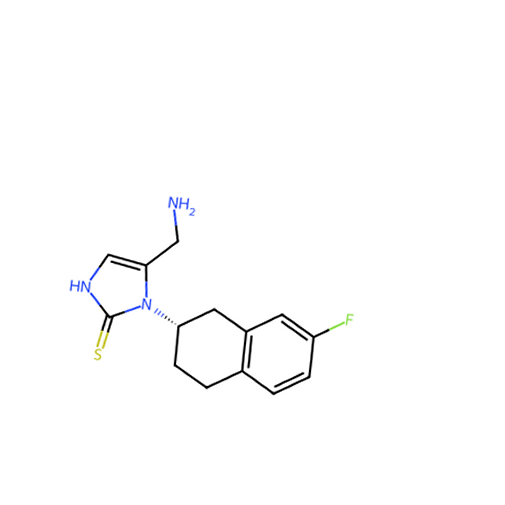 NCc1c[nH]c(=S)n1[C@H]1CCc2ccc(F)cc2C1